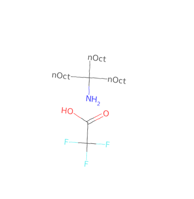 CCCCCCCCC(N)(CCCCCCCC)CCCCCCCC.O=C(O)C(F)(F)F